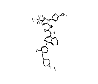 Cc1ccc(-n2nc(C(C)(C)C)cc2NC(=O)Nc2ccc(C3=CC(=O)C(CN4CCN(C)CC4)CC3)c3ccccc23)cc1